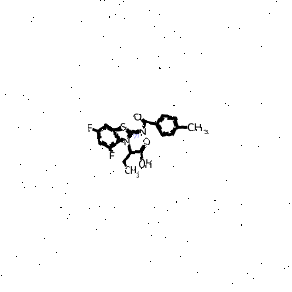 CCC(C(=O)O)n1/c(=N/C(=O)c2ccc(C)cc2)sc2cc(F)cc(F)c21